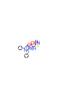 O=C(O)/C(=C\c1cnns1)Nc1ncc(-c2ccccc2)nc1Cc1ccccc1